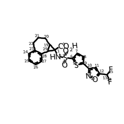 O=C(O)C1(NS(=O)(=O)c2ccc(-c3cc(C(F)F)on3)s2)C2CCCc3ccccc3C21